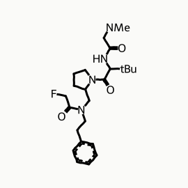 CNCC(=O)NC(C(=O)N1CCCC1CN(CCc1ccccc1)C(=O)CF)C(C)(C)C